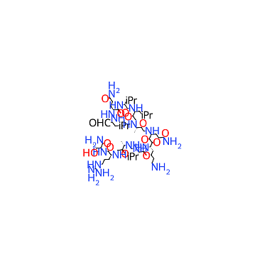 CC(C)C[C@@H](C=O)NN[C@@H](CCC(N)=O)C(=O)N[C@H](C(=O)N[C@@H](CC(C)C)C(=O)CN[C@@H](C)C(=O)CN[C@@H](CCC(N)=O)C(=O)C(=O)[C@H](CCCCN)NC(=O)[C@@H](NCN[C@@H](C)C(=O)CN[C@@H](CCCNC(N)N)C(=O)N[C@H](C(N)=O)[C@@H](C)O)C(C)C)C(C)C